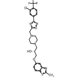 Cc1nc2cc(OC[C@H](O)CN3CCN(Cc4nc(-c5ccc(C(F)(F)F)c(Cl)c5)no4)CC3)ccc2s1